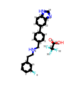 Fc1cccc(CCNCc2ccc(-c3ccc4[nH]cnc4c3)cc2)c1.O=C(O)C(F)(F)F